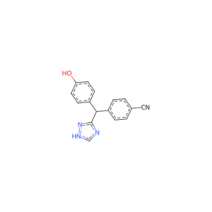 N#Cc1ccc(C(c2ccc(O)cc2)c2nc[nH]n2)cc1